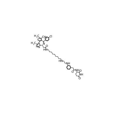 Cc1sc2c(c1C)C(c1ccc(Cl)cc1)=N[C@@H](CC(=O)NCCCCCCCCCNCCNc1cccc(CC(=O)NC3CCC(=O)NC3=O)c1)c1nnc(C)n1-2